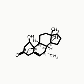 C[C@@H]1C=C2CC(=O)CC(O)[C@]2(C)[C@H]2CC[C@]3(C)CCC[C@H]3[C@H]12